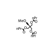 CCCC(=O)OCC(C#COC)(COC(=O)CCC)COC(=O)CCC